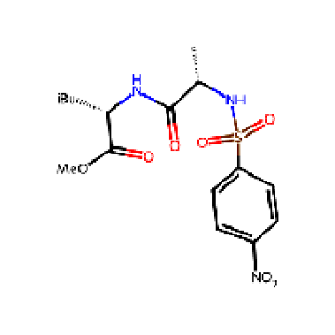 CCC(C)[C@H](NC(=O)[C@H](C)NS(=O)(=O)c1ccc([N+](=O)[O-])cc1)C(=O)OC